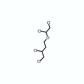 ClCC(Cl)CCOC(Cl)CCl